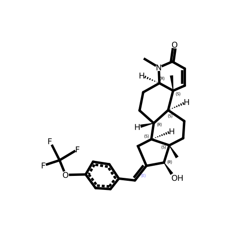 CN1C(=O)C=C[C@]2(C)[C@H]3CC[C@]4(C)[C@@H](O)/C(=C/c5ccc(OC(F)(F)F)cc5)C[C@H]4[C@@H]3CC[C@@H]12